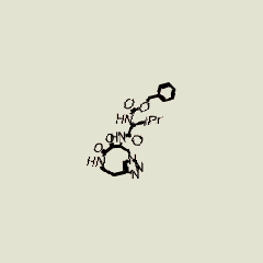 CC(C)C(NC(=O)OCc1ccccc1)C(=O)NC1Cn2cc(nn2)CCNC(=O)C1=O